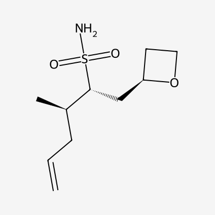 C=CC[C@@H](C)[C@@H](C[C@H]1CCO1)S(N)(=O)=O